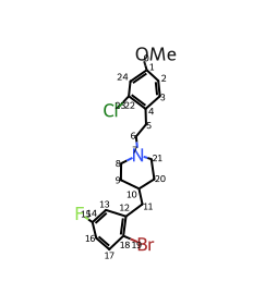 COc1ccc(CCN2CCC(Cc3cc(F)ccc3Br)CC2)c(Cl)c1